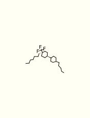 CCCCCCC[C@]1(C(F)(F)F)CC[C@@H](C2CCC(CCCCC)CC2)CC1